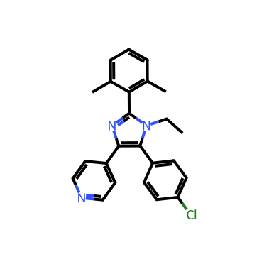 CCn1c(-c2c(C)cccc2C)nc(-c2ccncc2)c1-c1ccc(Cl)cc1